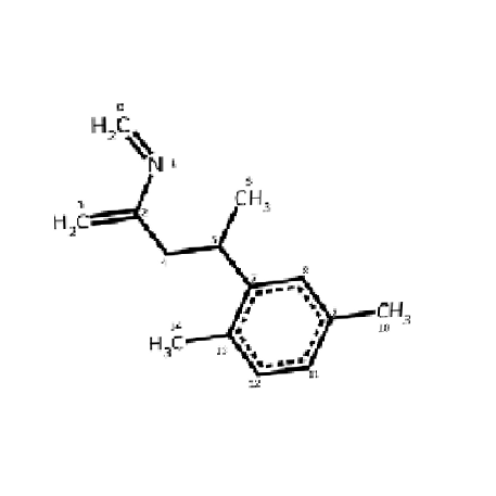 C=NC(=C)CC(C)c1cc(C)ccc1C